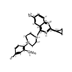 COc1cc(F)ccc1N1CCN(c2nc(C3CC3)nc3ccc(Br)cc23)CC1